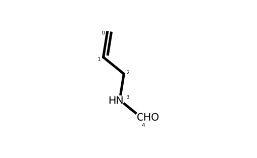 C=CCNC=O